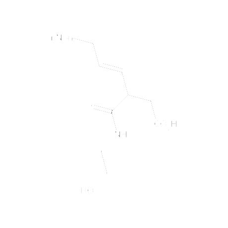 CCCCCCCCCCC=CC(CC(=O)O)C(=O)NCCO